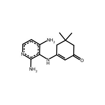 CC1(C)CC(=O)C=C(Nc2c(N)ccnc2N)C1